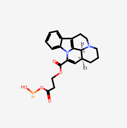 CC[C@@]12C=C(C(=O)OCCC(=O)OPO)n3c4c(c5ccccc53)CCN(CCC1)[C@H]42